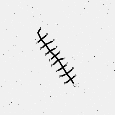 FC(F)(F)C(F)(F)C(F)(F)C(F)(F)C(F)(F)C(F)(F)C(F)(F)C(F)(F)C(F)(F)CI